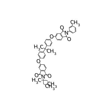 CCC(C)(CC)N1C(=O)c2ccc(Oc3ccc(C(C)(C)c4ccc(Oc5ccc6c(c5)C(=O)N(c5cccc(C)c5)C6=O)cc4)cc3)cc2C1=O